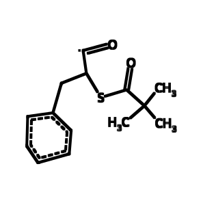 CC(C)(C)C(=O)SC([C]=O)Cc1ccccc1